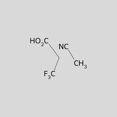 CC#N.O=C(O)CC(F)(F)F